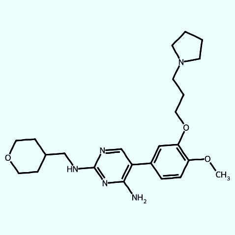 COc1ccc(-c2cnc(NCC3CCOCC3)nc2N)cc1OCCCN1CCCC1